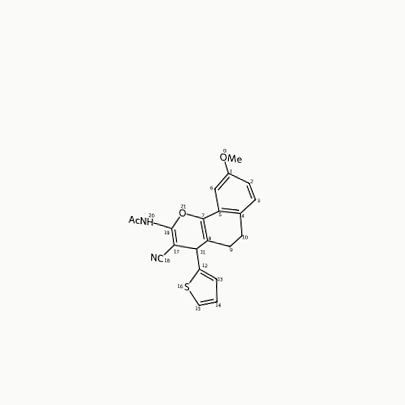 COc1ccc2c(c1)C1=C(CC2)C(c2cccs2)C(C#N)=C(NC(C)=O)O1